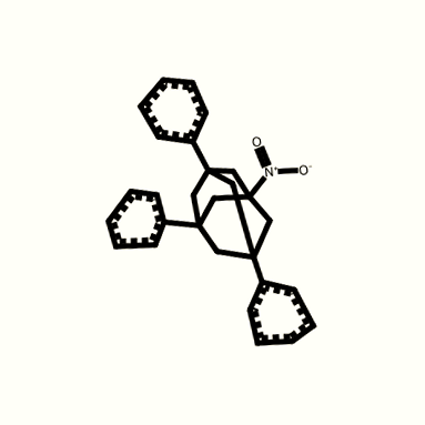 O=[N+]([O-])C12CC3(c4ccccc4)CC(c4ccccc4)(CC(c4ccccc4)(C3)C1)C2